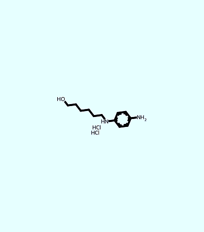 Cl.Cl.Nc1ccc(NCCCCCCO)cc1